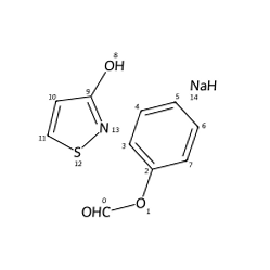 O=COc1ccccc1.Oc1ccsn1.[NaH]